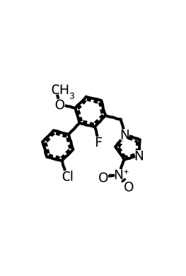 COc1ccc(Cn2cnc([N+](=O)[O-])c2)c(F)c1-c1cccc(Cl)c1